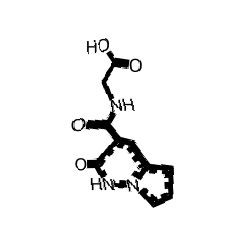 O=C(O)CNC(=O)c1cc2cccn2[nH]c1=O